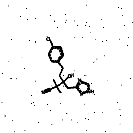 CC(C)(C#N)C(O)(CCc1ccc(Cl)cc1)Cc1nc[nH]n1